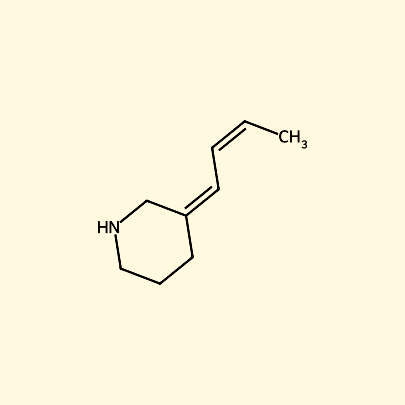 C/C=C\C=C1\CCCNC1